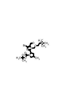 CC1CC(c2nc(Br)c(C=O)n2COCC[Si](C)(C)C)N(C(=O)OC(C)(C)C)C1